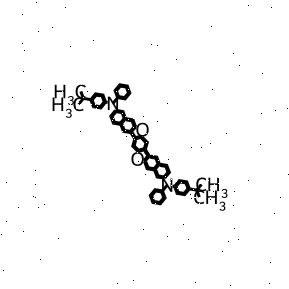 CC(C)c1ccc(N(c2ccccc2)c2ccc3cc4c(cc3c2)oc2cc3c(cc24)oc2cc4cc(N(c5ccccc5)c5ccc(C(C)C)cc5)ccc4cc23)cc1